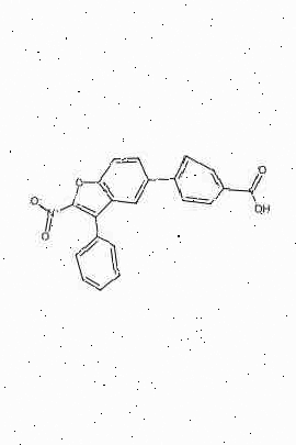 O=C(O)c1ccc(-c2ccc3oc([N+](=O)[O-])c(-c4ccccc4)c3c2)cc1